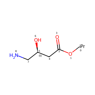 CC(C)OC(=O)C[C@H](O)CN